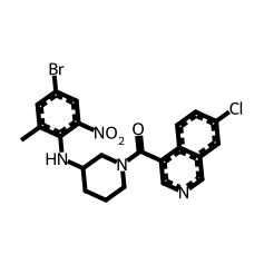 Cc1cc(Br)cc([N+](=O)[O-])c1NC1CCCN(C(=O)c2cncc3cc(Cl)ccc23)C1